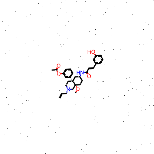 C=CCN1CC[C@@]2(c3cccc(OC(C)=O)c3)C[C@@H](NC(=O)C=Cc3cccc(O)c3)CC[C@]2(OC)C1